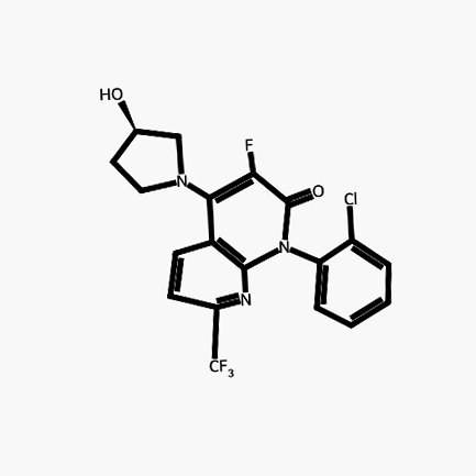 O=c1c(F)c(N2CC[C@@H](O)C2)c2ccc(C(F)(F)F)nc2n1-c1ccccc1Cl